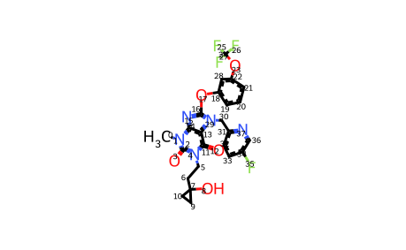 Cn1c(=O)n(CCC2(O)CC2)c(=O)c2c1nc(Oc1cccc(OC(F)(F)F)c1)n2Cc1ccc(F)cn1